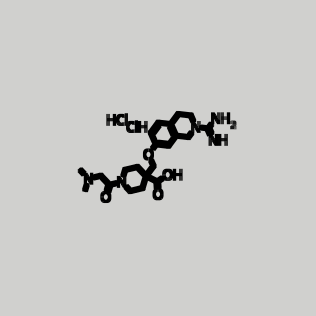 CN(C)CC(=O)N1CCC(COc2ccc3c(c2)CN(C(=N)N)CC3)(C(=O)O)CC1.Cl.Cl